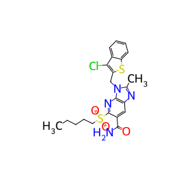 CCCCCS(=O)(=O)c1nc2c(cc1C(N)=O)nc(C)n2Cc1sc2ccccc2c1Cl